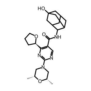 C[C@@H]1CN(c2ncc(C(=O)NC3C4CC5CC3CC(O)(C5)C4)c([C@H]3CCCO3)n2)C[C@H](C)O1